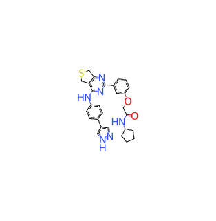 O=C(COc1cccc(-c2nc3c(c(Nc4ccc(-c5cn[nH]c5)cc4)n2)CSC3)c1)NC1CCCC1